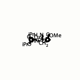 C=C(NC(=O)c1cc(OC(C)C)cc(OC(C)C)c1)S/C(=C\N)Oc1cccc(C(=O)OC)c1